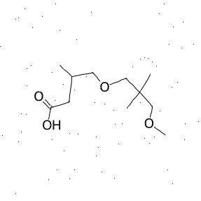 COCC(C)(C)COCC(C)CC(=O)O